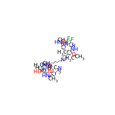 CNC(=O)c1ccccc1Nc1cc(Nc2cc(C)c(C3CCN(CCCCCCC(=O)N[C@H](C(=O)N4C[C@H](O)C[C@H]4C(=O)N[C@@H](C)c4ccc(-c5scnc5C)cc4)C(C)(C)C)CC3)cc2OC(C)C)ncc1C(F)(F)F